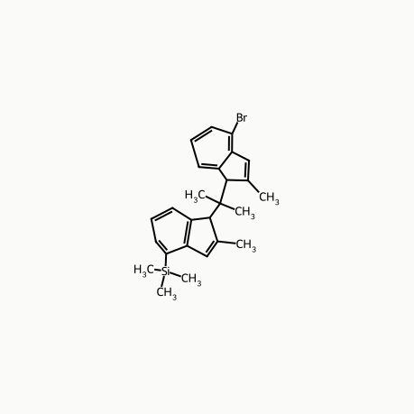 CC1=Cc2c(Br)cccc2C1C(C)(C)C1C(C)=Cc2c1cccc2[Si](C)(C)C